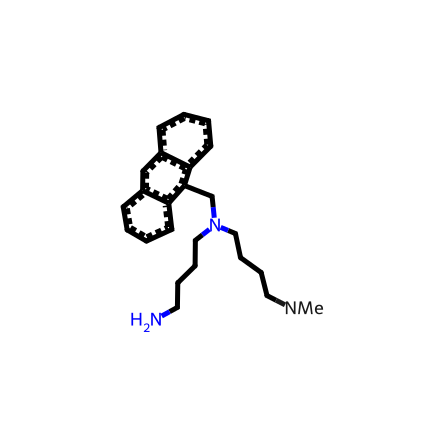 CNCCCCN(CCCCN)Cc1c2ccccc2cc2ccccc12